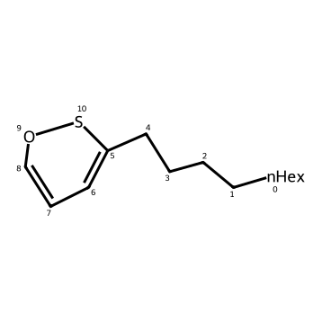 CCCCCCCCCCC1=CC=COS1